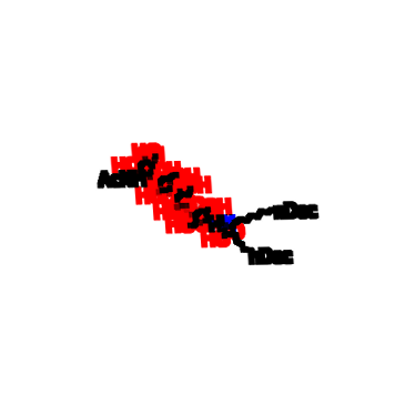 CCCCCCCCCCCCC/C=C/[C@@H](O)[C@H](CO[C@@H]1OC(CO)[C@@H](O[C@@H]2OC(CO)[C@H](O)[C@H](O[C@H]3OC(CO)[C@H](O)[C@H](O[C@@H]4OC(CO)[C@H](O)[C@H](O)C4NC(C)=O)C3O)C2O)[C@H](O)C1O)NC(=O)CCCCCCCCCCCCCCCCC